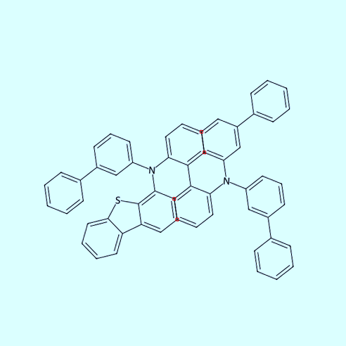 c1ccc(-c2cccc(N(c3cccc(-c4ccccc4)c3)c3ccccc3-c3ccccc3N(c3cccc(-c4ccccc4)c3)c3cccc4c3sc3ccccc34)c2)cc1